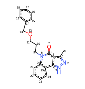 Cc1n[nH]c2c1c(=O)n(CCCOCc1ccccc1)c1ccccc21